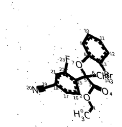 CCOC(=O)C(C)(Oc1ccccc1Br)c1ccc(C#N)cc1F